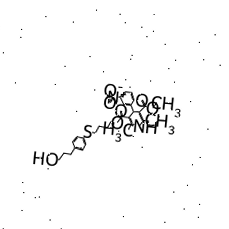 COC(=O)C1=C(C)NC(C)=C(C(=O)OCCCCSc2ccc(CCCO)cc2)C1c1cccc([N+](=O)[O-])c1